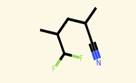 C[C](C#N)CC(C)C(F)F